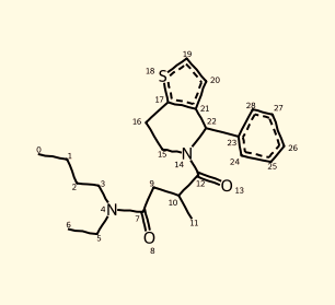 CCCCN(CC)C(=O)CC(C)C(=O)N1CCc2sccc2C1c1ccccc1